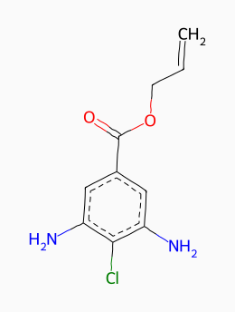 C=CCOC(=O)c1cc(N)c(Cl)c(N)c1